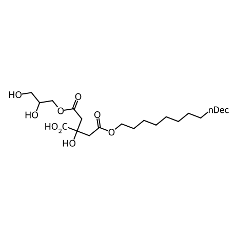 CCCCCCCCCCCCCCCCCCOC(=O)CC(O)(CC(=O)OCC(O)CO)C(=O)O